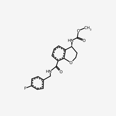 COC(=O)N[C@H]1CCOc2c(C(=O)NCc3ccc(F)cc3)cccc21